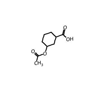 CC(=O)OC1CCCC(C(=O)O)C1